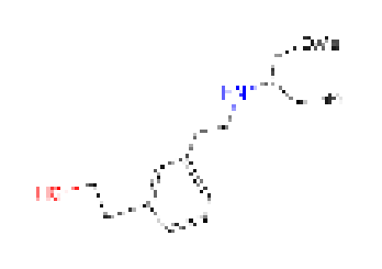 COCC(CC(C)C)NCCc1cccc(CCO)c1